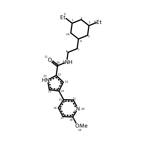 CCC1CC(CC)CC(CCNC(=O)c2cc(-c3ccc(OC)nc3)c[nH]2)C1